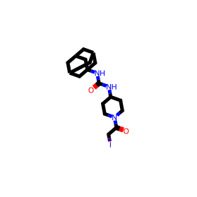 O=C(NC1CCN(C(=O)CI)CC1)NC12CC3CC(CC(C3)C1)C2